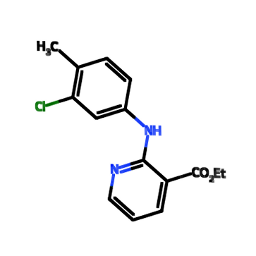 CCOC(=O)c1cccnc1Nc1ccc(C)c(Cl)c1